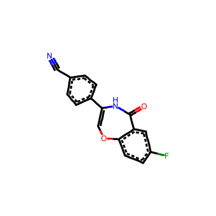 N#Cc1ccc(C2=COc3ccc(F)cc3C(=O)N2)cc1